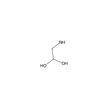 [NH]CC(O)O